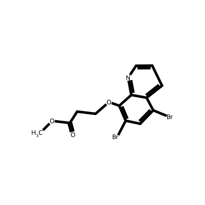 COC(=O)CCOc1c(Br)cc(Br)c2cccnc12